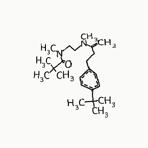 C=C(CCc1ccc(C(C)(C)C)cc1)N(C)CCN(C)C(=O)C(C)(C)C